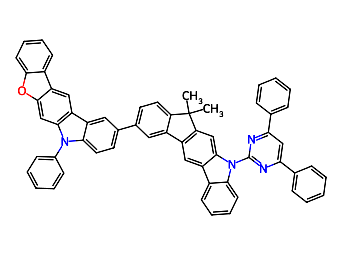 CC1(C)c2ccc(-c3ccc4c(c3)c3cc5c(cc3n4-c3ccccc3)oc3ccccc35)cc2-c2cc3c4ccccc4n(-c4nc(-c5ccccc5)cc(-c5ccccc5)n4)c3cc21